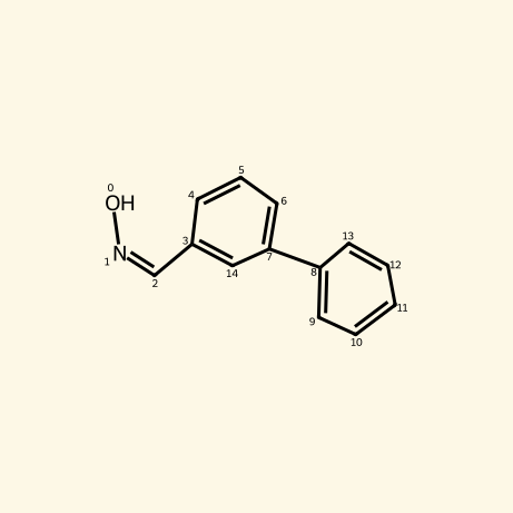 O/N=C\c1cccc(-c2ccccc2)c1